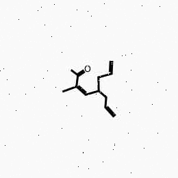 C=CCC(C=C(C)C(C)=O)CC=C